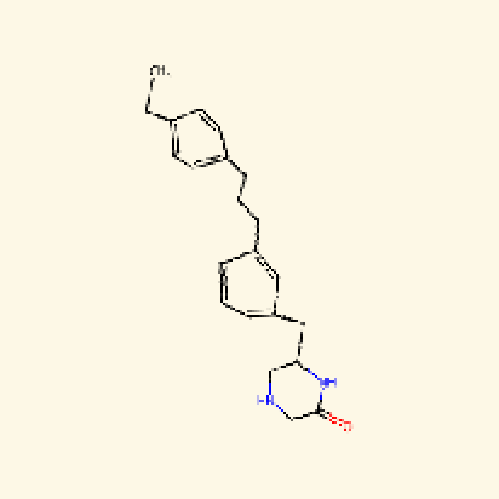 CCc1ccc(CCCc2cccc(CC3CNCC(=O)N3)c2)cc1